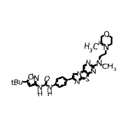 C[C@@H]1COCCN1CCN(C)c1ncc2c(n1)sc1nc(-c3ccc(NC(=O)Nc4cc(C(C)(C)C)on4)cc3)cn12